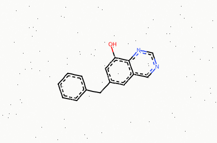 Oc1cc(Cc2ccccc2)cc2cncnc12